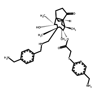 C[C@@H]1CC[C@@]23CCC(=O)[C@H]2[C@]1(C)[C@H](OC(=O)CSc1ccc(CN)cn1)C[C@](C)(CNCc1ccc(CN)cc1)[C@@H](O)[C@@H]3C